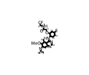 COc1c(N=S(C)C)cc2ncnc(Nc3ccc(F)cc3OCC(=O)NCC(F)(F)F)c2c1C